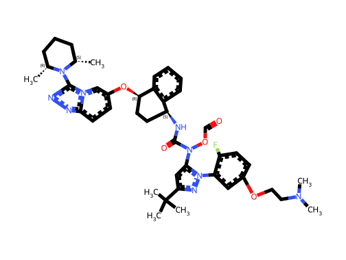 C[C@@H]1CCC[C@H](C)N1c1nnc2ccc(O[C@@H]3CC[C@H](NC(=O)N(OC=O)c4cc(C(C)(C)C)nn4-c4cc(OCCN(C)C)ccc4F)c4ccccc43)cn12